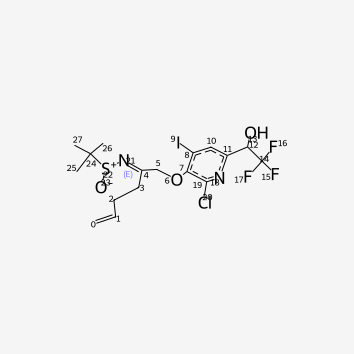 C=CCC/C(COc1c(I)cc(C(O)C(F)(F)F)nc1Cl)=N\[S+]([O-])C(C)(C)C